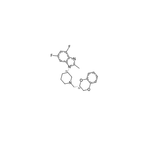 Cc1nc2c(F)cc(F)cc2n1[C@H]1CCCN(C[C@H]2COc3ccccc3O2)C1